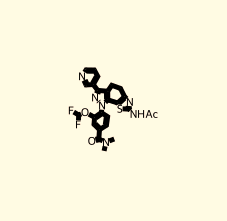 CC(=O)Nc1nc2c(s1)-c1c(c(-c3cccnc3)nn1-c1ccc(C(=O)N(C)C)cc1OC(F)F)CC2